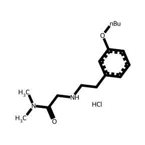 CCCCOc1cccc(CCNCC(=O)N(C)C)c1.Cl